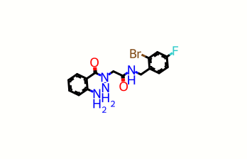 Nc1ccccc1C(=O)N(N)CC(=O)NCc1ccc(F)cc1Br